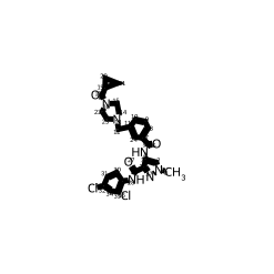 Cn1cc(NC(=O)c2cccc(CN3CCN(C(=O)C4CC4)CC3)c2)c(C(=O)Nc2ccc(Cl)cc2Cl)n1